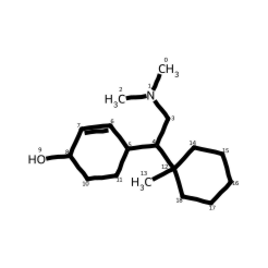 CN(C)CC(C1C=CC(O)CC1)C1(C)CCCCC1